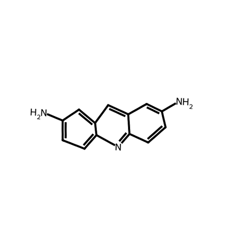 Nc1ccc2nc3ccc(N)cc3cc2c1